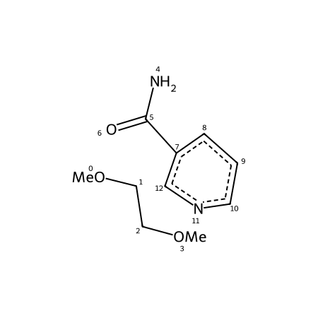 COCCOC.NC(=O)c1cccnc1